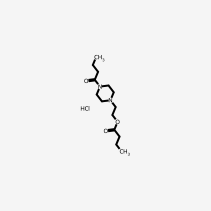 CCCC(=O)OCCN1CCN(C(=O)CCC)CC1.Cl